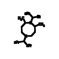 CCCC(CCC)N1CCC(C)N(C(CC)CCC)C(C)CC1